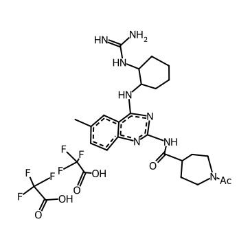 CC(=O)N1CCC(C(=O)Nc2nc(NC3CCCCC3NC(=N)N)c3cc(C)ccc3n2)CC1.O=C(O)C(F)(F)F.O=C(O)C(F)(F)F